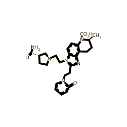 C[C@H]1CCc2c(ccc3c2nc(CCn2ccccc2=O)n3CCN2CC[C@H](C(N)=O)C2)N1C(=O)O